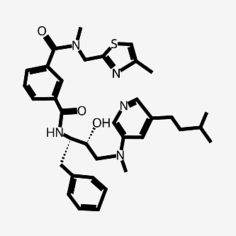 Cc1csc(CN(C)C(=O)c2cccc(C(=O)N[C@@H](Cc3ccccc3)[C@H](O)CN(C)c3cncc(CCC(C)C)c3)c2)n1